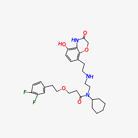 O=C1COc2c(CCNCCN(C(=O)CCOCCc3ccc(F)c(F)c3)C3CCCCC3)ccc(O)c2N1